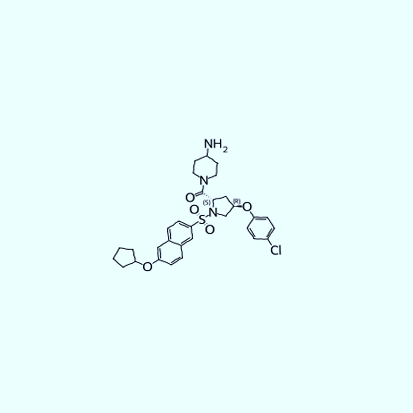 NC1CCN(C(=O)[C@@H]2C[C@@H](Oc3ccc(Cl)cc3)CN2S(=O)(=O)c2ccc3cc(OC4CCCC4)ccc3c2)CC1